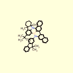 CC(C)(C)c1cc2c3c(c1)C1(C)CCCCC1(C)N3c1c3c(cc4ccccc14)-c1cc4ccccc4cc1N(c1ccc4c(c1)C(C)(C)c1ccccc1-4)B23